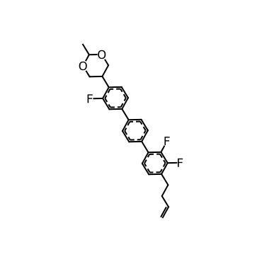 C=CCCc1ccc(-c2ccc(-c3ccc(C4COC(C)OC4)c(F)c3)cc2)c(F)c1F